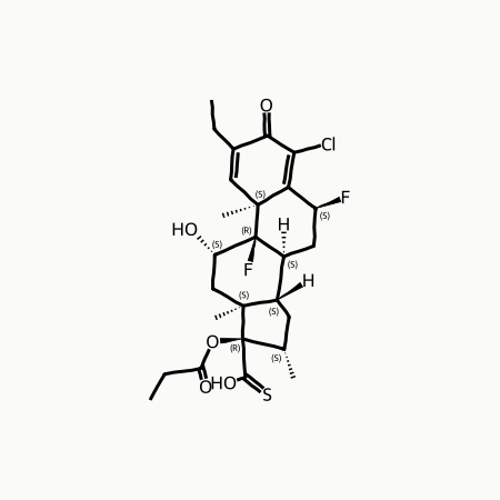 CCC(=O)O[C@]1(C(O)=S)[C@@H](C)C[C@H]2[C@@H]3C[C@H](F)C4=C(Cl)C(=O)C(CC)=C[C@]4(C)[C@@]3(F)[C@@H](O)C[C@@]21C